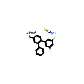 CCC[C@@H](C)Cc1ccc(-c2cc(F)cc(F)c2)c(-c2ccccc2)c1.N=C=S